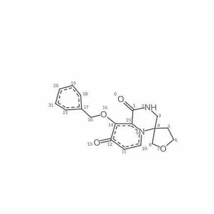 O=C1NCC2(CCOC2)n2ccc(=O)c(OCc3ccccc3)c21